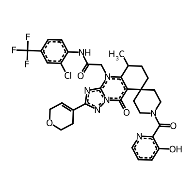 CC1CCC2(CCN(C(=O)c3ncccc3O)CC2)c2c1n(CC(=O)Nc1ccc(C(F)(F)F)cc1Cl)c1nc(C3=CCOCC3)nn1c2=O